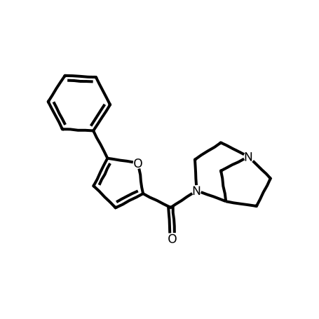 O=C(c1ccc(-c2ccccc2)o1)N1CCN2CCC1C2